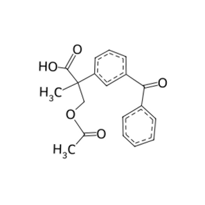 CC(=O)OCC(C)(C(=O)O)c1cccc(C(=O)c2ccccc2)c1